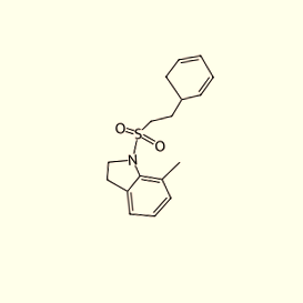 Cc1cccc2c1N(S(=O)(=O)CCC1C=CC=CC1)CC2